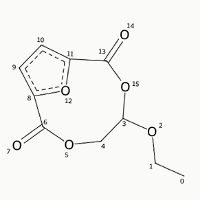 CCOC1COC(=O)c2ccc(o2)C(=O)O1